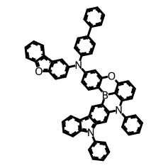 c1ccc(-c2ccc(N(c3ccc4c(c3)Oc3cccc5c3B4c3cc4c6ccccc6n(-c6ccccc6)c4cc3N5c3ccccc3)c3ccc4oc5ccccc5c4c3)cc2)cc1